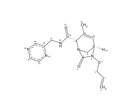 C=CCON1C(=O)N2C[C@H]1C=C(C)[C@H]2C(=O)NCc1cnccn1